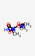 CCc1nn(CCCOC(=O)c2cc(C)nn2C)c2c1C(=O)NCC1(CCOCC1)C2